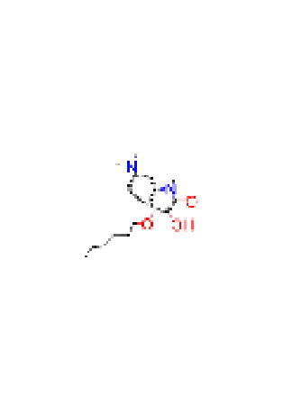 CCCCCCOc1c(O)c(=O)n(C)c2cc(N(C)C)ccc12